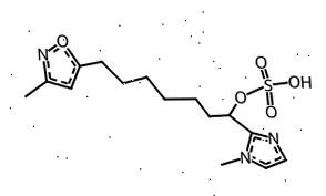 Cc1cc(CCCCCCC(OS(=O)(=O)O)c2nccn2C)on1